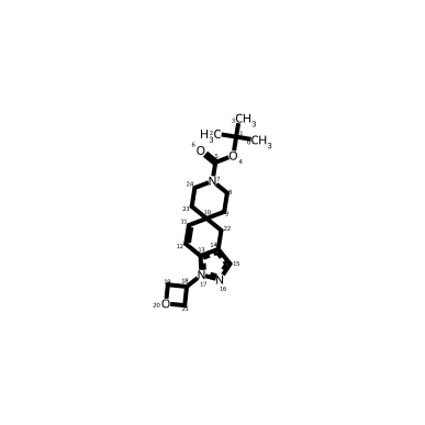 CC(C)(C)OC(=O)N1CCC2(C=Cc3c(cnn3C3COC3)C2)CC1